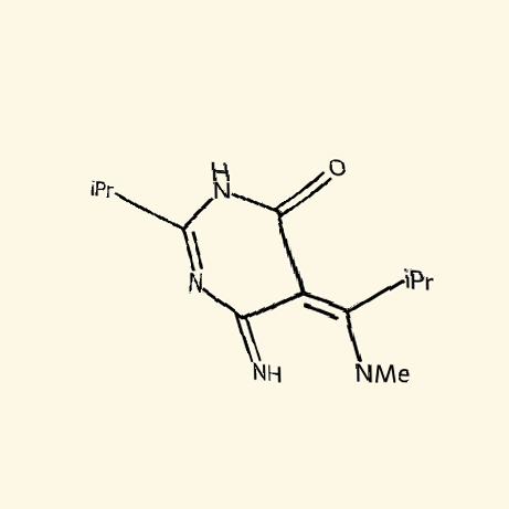 CN/C(=C1\C(=N)N=C(C(C)C)NC1=O)C(C)C